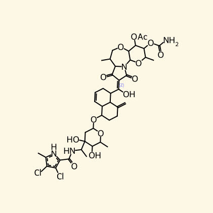 C=C1CCC(OC2CC(O)(C(C)NC(=O)c3[nH]c(C)c(Cl)c3Cl)C(O)C(C)O2)C2C=CCC(/C(O)=C3\C(=O)C4C(C)COC5C(OC(C)=O)C(OC(N)=O)C(C)OC5N4C3=O)C12